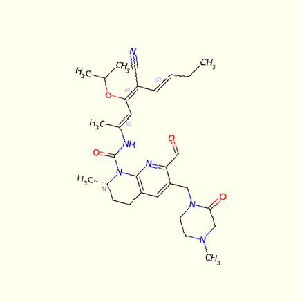 CC/C=C/C(C#N)=C(\C=C(/C)NC(=O)N1c2nc(C=O)c(CN3CCN(C)CC3=O)cc2CC[C@@H]1C)OC(C)C